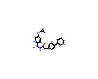 C[C@@H](NC(=O)Cc1ccc(-c2ccccc2)cc1)c1ccc(NC2CC2)cn1